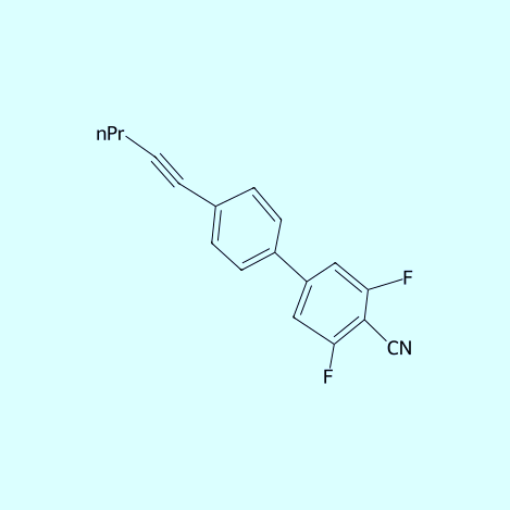 CCCC#Cc1ccc(-c2cc(F)c(C#N)c(F)c2)cc1